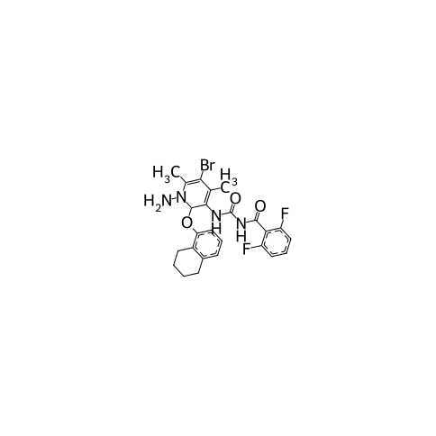 CC1=C(NC(=O)NC(=O)c2c(F)cccc2F)C(Oc2cccc3c2CCCC3)N(N)C(C)=C1Br